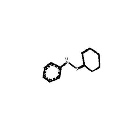 c1ccc(NSC2CCCCC2)cc1